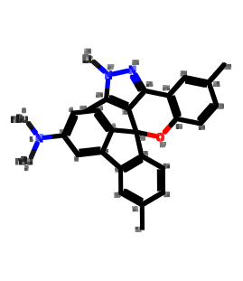 CCCCN(CCCC)c1ccc2c(c1)-c1cc(C)ccc1C21Oc2ccc(C)cc2-c2nn(CC)c(C)c21